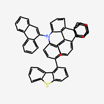 c1ccc(-c2ccccc2-c2c(-c3ccccc3)cccc2N(c2ccc(-c3cccc4sc5ccccc5c34)cc2)c2cc3ccccc3c3ccccc23)cc1